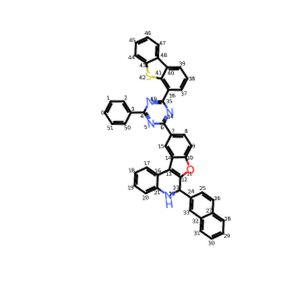 c1ccc(-c2nc(-c3ccc4oc5c(c4c3)-c3ccccc3NC5c3ccc4ccccc4c3)nc(-c3cccc4c3sc3ccccc34)n2)cc1